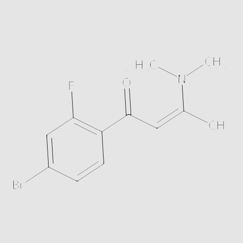 CC(=CC(=O)c1ccc(Br)cc1F)N(C)C